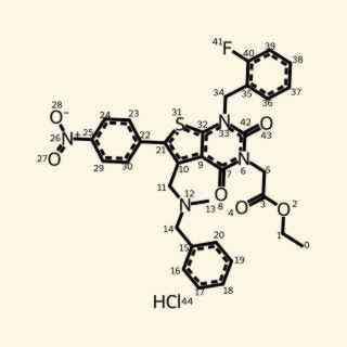 CCOC(=O)Cn1c(=O)c2c(CN(C)Cc3ccccc3)c(-c3ccc([N+](=O)[O-])cc3)sc2n(Cc2ccccc2F)c1=O.Cl